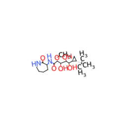 CO[C@@H](C(=O)N[C@H]1CCCCNC1=O)[C@H](O)[C@@H](O)[C@H](O)[C@H]1C[C@@H]1C(C)(C)C